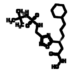 CC(C)(C)NS(=O)(=O)NCc1noc([C@H](CCCC2CCCCC2)CC(=O)NO)n1